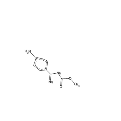 COC(=O)NC(=N)c1ccc(N)cc1